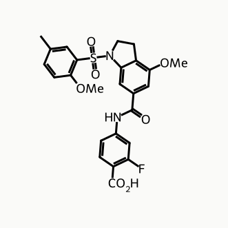 COc1ccc(C)cc1S(=O)(=O)N1CCc2c(OC)cc(C(=O)Nc3ccc(C(=O)O)c(F)c3)cc21